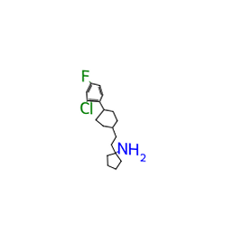 NC1(CCC2CCC(c3ccc(F)cc3Cl)CC2)CCCC1